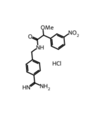 COC(C(=O)NCc1ccc(C(=N)N)cc1)c1cccc([N+](=O)[O-])c1.Cl